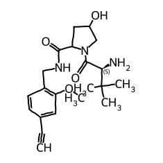 C#Cc1ccc(CNC(=O)C2CC(O)CN2C(=O)[C@@H](N)C(C)(C)C)c(OC)c1